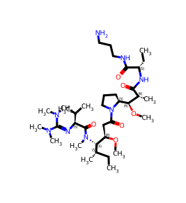 CC[C@H](NC(=O)[C@H](C)[C@@H](OC)[C@@H]1CCCN1C(=O)C[C@@H](OC)[C@H]([C@@H](C)CC)N(C)C(=O)[C@@H](N=C(N(C)C)N(C)C)C(C)C)C(=O)NCCCN